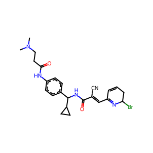 CN(C)CCC(=O)Nc1ccc(C(NC(=O)/C(C#N)=C/C2=NC(Br)CC=C2)C2CC2)cc1